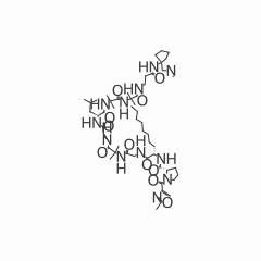 CCCCCCCC[C@H](NC(=O)[C@@H]1CCCN1C(=O)c1coc(C)n1)C(=O)NCC(=O)NC(C)(C)C(=O)NCC(=O)N[C@@H](CC(C)C)C(=O)NC(C)(C)C(=O)NC(C)(C)C(=O)NCCC(=O)NC1(CN(C)C)CCCC1